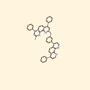 Cc1cc(-c2ccccc2)c2ccc3c(-c4ccccc4)cc(Cc4cccc(-c5ccnc6c5ccc5c(-c7ccccc7)ccnc56)c4)nc3c2n1